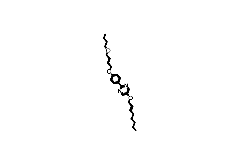 CCCCCC=CCOc1cnc(-c2ccc(OCCCCOCCCC)cc2)nc1